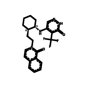 O=c1[nH]ncc(N[C@H]2CCCC[C@@H]2CCn2ccc3ccccc3c2=O)c1C(F)(F)F